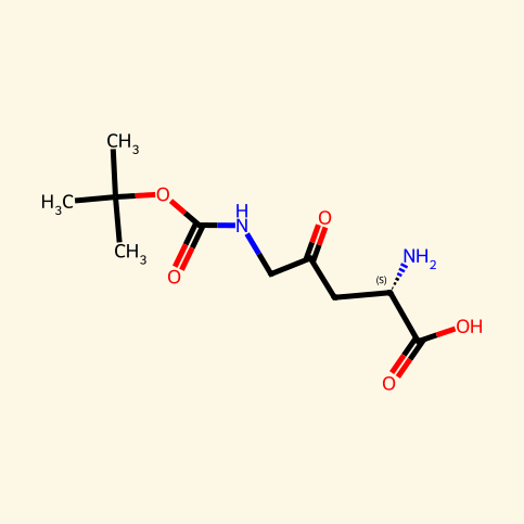 CC(C)(C)OC(=O)NCC(=O)C[C@H](N)C(=O)O